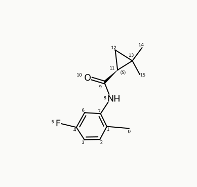 Cc1ccc(F)cc1NC(=O)[C@H]1CC1(C)C